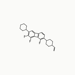 C=CC1CCC(c2ccc3c(c2F)-c2c-3cc(C3CCCCC3)c(F)c2F)CC1